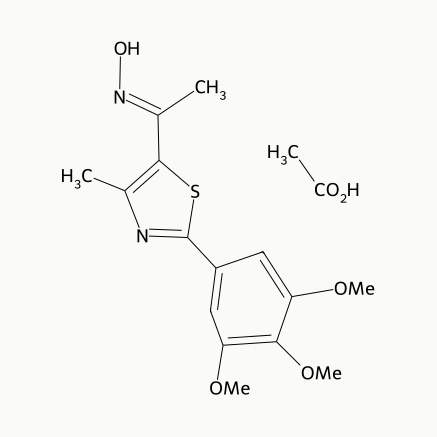 CC(=O)O.COc1cc(-c2nc(C)c(C(C)=NO)s2)cc(OC)c1OC